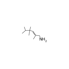 C/C(=C\C(C)(C)C(C)C)CN